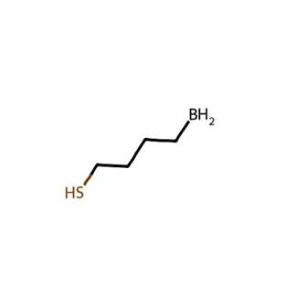 BCCCCS